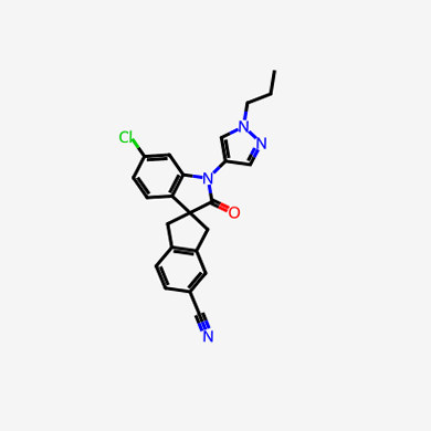 CCCn1cc(N2C(=O)C3(Cc4ccc(C#N)cc4C3)c3ccc(Cl)cc32)cn1